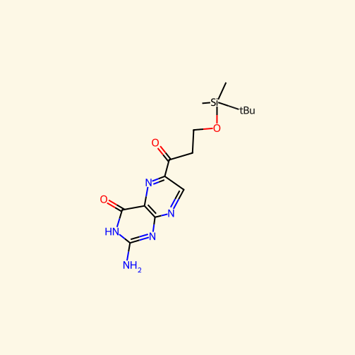 CC(C)(C)[Si](C)(C)OCCC(=O)c1cnc2nc(N)[nH]c(=O)c2n1